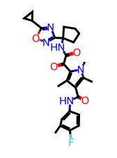 Cc1cc(NC(=O)c2c(C)c(C(=O)C(=O)NC3(c4noc(C5CC5)n4)CCCC3)n(C)c2C)ccc1F